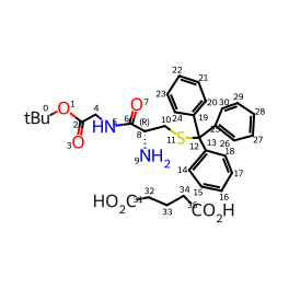 CC(C)(C)OC(=O)CNC(=O)[C@@H](N)CSC(c1ccccc1)(c1ccccc1)c1ccccc1.O=C(O)CCCC(=O)O